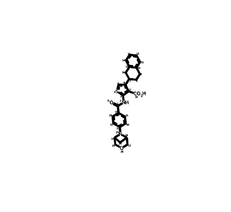 O=C(Nc1scc(C2CCc3ccccc3C2)c1C(=O)O)c1ccc(N2C3COCC2C3)cc1